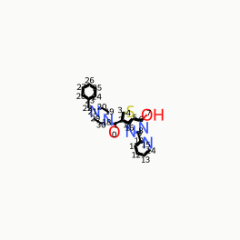 O=C(c1csc2c(O)nc(-c3ccccn3)nc12)N1CCN(Cc2ccccc2)CC1